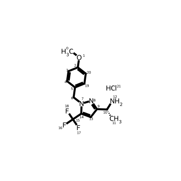 COc1ccc(Cn2nc([C@@H](C)N)cc2C(F)(F)F)cc1.Cl